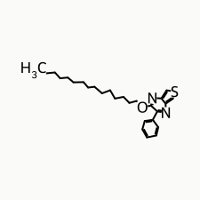 CCCCCCCCCCCCCCCOc1nc2cscc2nc1-c1ccccc1